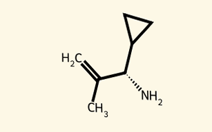 C=C(C)[C@@H](N)C1CC1